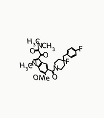 COc1cc2c(cc1C(=O)N1CCC(F)(Cc3ccc(F)cc3)CC1)c(C(=O)C(=O)N(C)C)cn2C